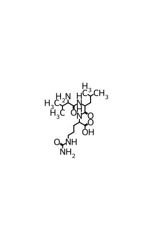 CC(C)CC(NC(=O)C(N)C(C)C)C(=O)NC(CCCNC(N)=O)C(=O)O